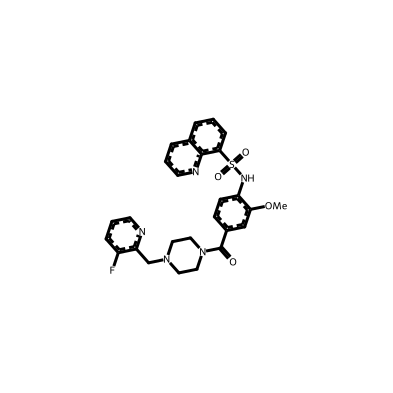 COc1cc(C(=O)N2CCN(Cc3ncccc3F)CC2)ccc1NS(=O)(=O)c1cccc2cccnc12